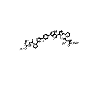 COC(=O)N[C@H](C(=O)N1CCCC1c1ncc(-c2ccc(-c3c[nH]c4c(-c5cnc(C6CCCN6C(=O)[C@@H](NC(=O)OC)C(C)C)[nH]5)csc34)cc2)[nH]1)C(C)C